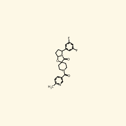 Cc1ccc(C(=O)N2CCC3(CC2)OC2CCC(c4cc(F)cc(F)c4)N2C3=O)cn1